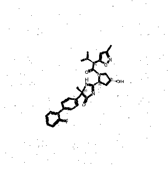 Cc1cc([C@@H](C(=O)N2C[C@H](O)C[C@H]2C2=NC(=O)[C@](C)(c3ccc(-c4ccccc4F)cc3)N2)C(C)C)on1